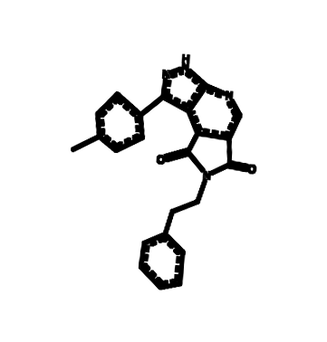 Cc1ccc(-c2n[nH]c3ncc4c(c23)C(=O)N(CCc2ccccc2)C4=O)cc1